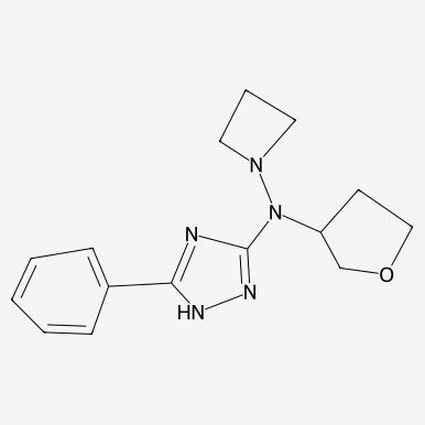 c1ccc(-c2nc(N(C3CCOC3)N3CCC3)n[nH]2)cc1